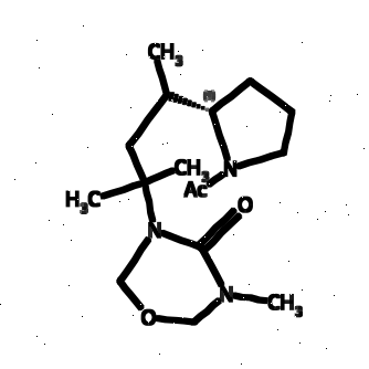 CC(=O)N1CCC[C@H]1C(C)CC(C)(C)N1COCN(C)C1=O